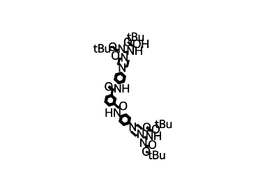 CC(C)(C)OC(=O)/N=C(/NC(O)OC(C)(C)C)N1CCN(c2ccc(NC(=O)c3cccc(C(=O)Nc4ccc(N5CCN(/C(=N/C(=O)OC(C)(C)C)NC(=O)OC(C)(C)C)CC5)cc4)c3)cc2)CC1